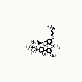 COCCCOc1cc(CN(C(=O)[C@H]2CN(C(=O)OC(C)(C)C)C[C@@H](O)[C@@H]2c2cccc(OC)c2)C2CC2)cc(OC)c1